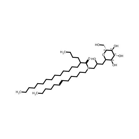 CCCCCC=CCCCCCN(CC(O)CC1O[C@H](CO)[C@@H](O)[C@H](O)[C@H]1O)C(=O)C(CCCC)CCCCCCCCCCCCCC